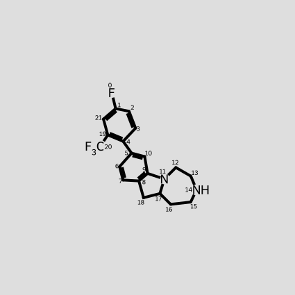 Fc1ccc(-c2ccc3c(c2)N2CCNCCC2C3)c(C(F)(F)F)c1